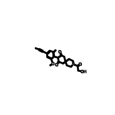 CC#Cc1cc(C)c(C2C(=O)CC3(CCN(C(=O)CO)CC3)CC2=O)c(OC)c1